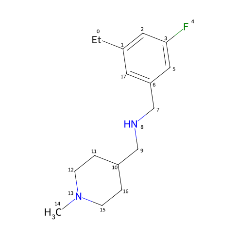 CCc1cc(F)cc(CNCC2CCN(C)CC2)c1